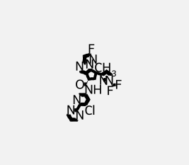 C[C@@]1(c2ccn(C(F)F)n2)C[C@H](C(=O)Nc2cnc(-c3ncccn3)c(Cl)c2)c2cnc3cc(F)nn3c21